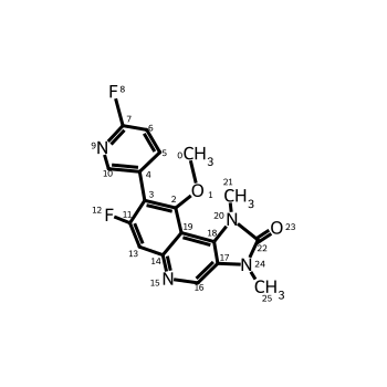 COc1c(-c2ccc(F)nc2)c(F)cc2ncc3c(c12)n(C)c(=O)n3C